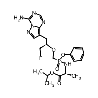 CC(C)OC(=O)[C@H](C)N[P@@](=O)(CO[C@@H](CF)Cc1cnn2c(N)ncnc12)Oc1ccccc1